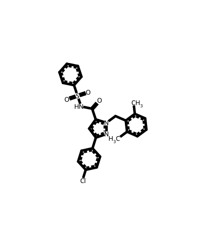 Cc1cccc(C)c1Cn1nc(-c2ccc(Cl)cc2)cc1C(=O)NS(=O)(=O)c1ccccc1